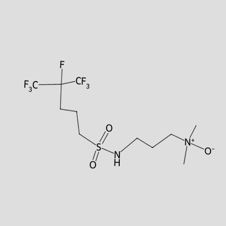 C[N+](C)([O-])CCCNS(=O)(=O)CCCC(F)(C(F)(F)F)C(F)(F)F